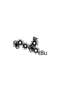 CC(C)(C)c1ccc(S(=O)(=O)N(Cc2ccc(-c3cccc(S(C)(=O)=O)c3)cc2)Cc2cccc(Br)c2)cc1